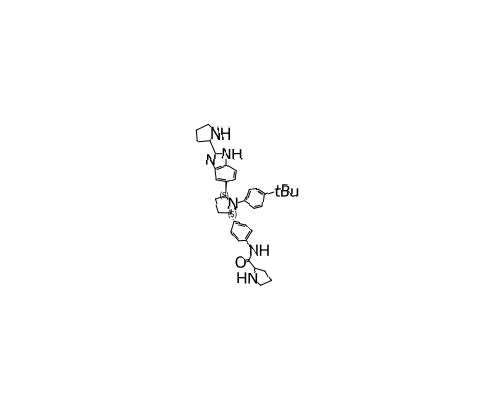 CC(C)(C)c1ccc(N2[C@H](c3ccc(NC(=O)C4CCCN4)cc3)CC[C@H]2c2ccc3[nH]c(C4CCCN4)nc3c2)cc1